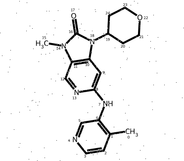 Cc1ccncc1Nc1cc2c(cn1)n(C)c(=O)n2C1CCOCC1